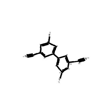 N#Cc1cc(F)cc(-c2cc(F)cc(C#N)c2)c1